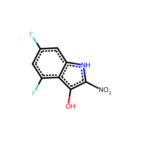 O=[N+]([O-])c1[nH]c2cc(F)cc(F)c2c1O